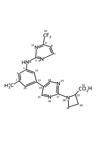 Cc1cc(Nc2nccc(C(F)(F)F)n2)cc(-c2cnc(N3CCC3C(=O)O)nc2)c1